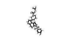 Cc1ccc(S(=O)(=O)n2ccc3c4c(C5CCCN(C(=O)OC(C)C)C5)ccnc4cnc32)cc1